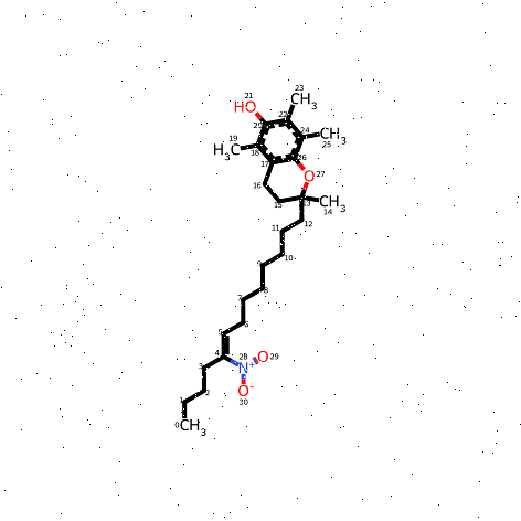 CCCCC(=CCCCCCCCC1(C)CCc2c(C)c(O)c(C)c(C)c2O1)[N+](=O)[O-]